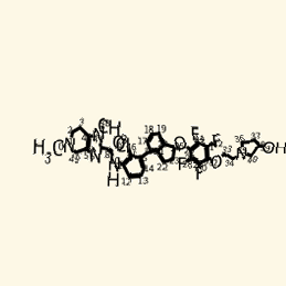 CN1CCc2c(nc(C(=O)Nc3cccc(-c4cccc5c4CCC5Oc4c(F)c(F)c(OCCN5CCC(O)C5)c(F)c4F)c3Cl)n2C)C1